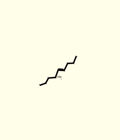 Br.CCC/C=C/CCCC